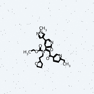 CCOC(=O)N(CCC1CCCO1)c1c(C(=O)c2ccc(CC)nc2)oc2ncc(-c3cnn(C)c3)cc12